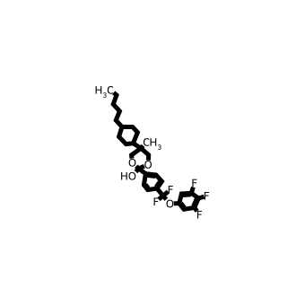 CCCCCC1CCC(C2(C)COC(O)(c3ccc(C(F)(F)Oc4cc(F)c(F)c(F)c4)cc3)OC2)CC1